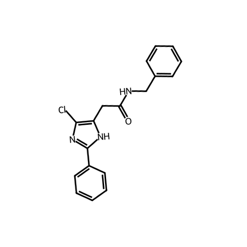 O=C(Cc1[nH]c(-c2ccccc2)nc1Cl)NCc1ccccc1